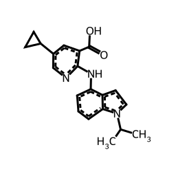 CC(C)n1ccc2c(Nc3ncc(C4CC4)cc3C(=O)O)cccc21